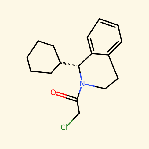 O=C(CCl)N1CCc2ccccc2[C@H]1C1CCCCC1